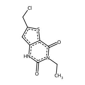 CCn1c(=O)[nH]c2cc(CCl)sc2c1=O